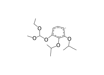 CCOC(OC)Oc1cc[c]c(OC(C)C)c1OC(C)C